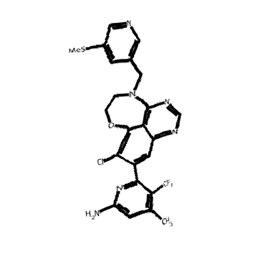 CSc1cncc(CN2CCOc3c(Cl)c(-c4nc(N)cc(C)c4C(F)(F)F)cc4ncnc2c34)c1